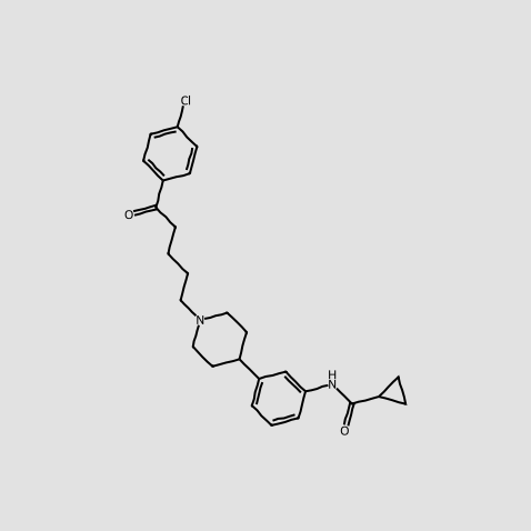 O=C(CCCCN1CCC(c2cccc(NC(=O)C3CC3)c2)CC1)c1ccc(Cl)cc1